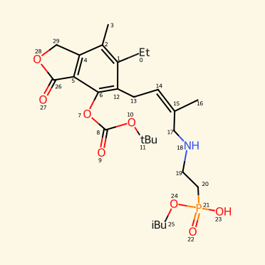 CCc1c(C)c2c(c(OC(=O)OC(C)(C)C)c1CC=C(C)CNCCP(=O)(O)OC(C)CC)C(=O)OC2